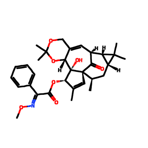 CO/N=C(/C(=O)O[C@H]1C(C)=C[C@]23C(=O)[C@@H](C=C4COC(C)(C)O[C@H]4[C@]12O)[C@H]1[C@@H](C[C@H]3C)C1(C)C)c1ccccc1